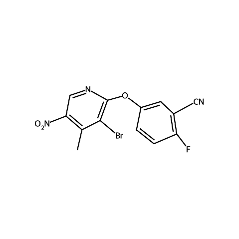 Cc1c([N+](=O)[O-])cnc(Oc2ccc(F)c(C#N)c2)c1Br